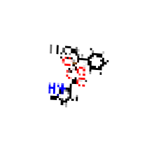 C=CC(c1ccccc1)S(=O)(=O)OC(=O)[C@@H]1CCCN1